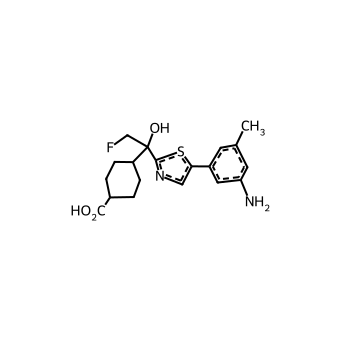 Cc1cc(N)cc(-c2cnc(C(O)(CF)C3CCC(C(=O)O)CC3)s2)c1